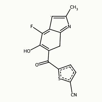 CC1=[C]C2=C(F)C(O)=C(C(=O)c3ccc(C#N)s3)CC2=N1